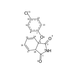 O=C1NC(=O)C2(Oc3ccc(Cl)cc3)C=CC=CC12